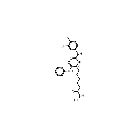 Cc1ccc(NC(=O)N[C@@H](CCCCCC(=O)NO)C(=O)Nc2ccccc2)cc1Cl